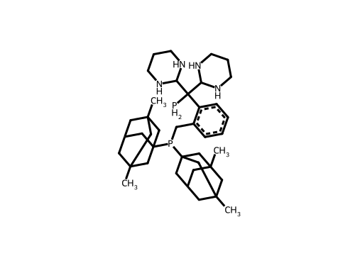 CC12CC3CC(C)(C1)CC(P(Cc1ccccc1C(P)(C1NCCCN1)C1NCCCN1)C14CC5CC(C)(CC(C)(C5)C1)C4)(C3)C2